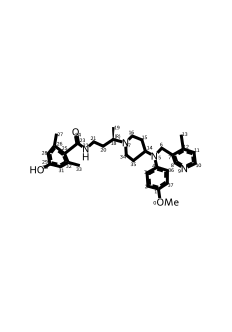 COc1ccc(N(Cc2cnccc2C)C2CCN([C@H](C)CCNC(=O)c3c(C)cc(O)cc3C)CC2)cc1